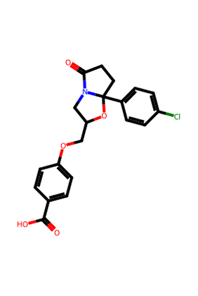 O=C(O)c1ccc(OCC2CN3C(=O)CCC3(c3ccc(Cl)cc3)O2)cc1